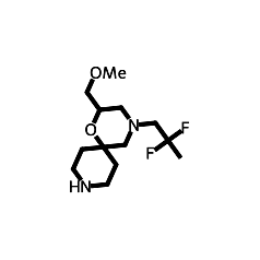 COCC1CN(CC(C)(F)F)CC2(CCNCC2)O1